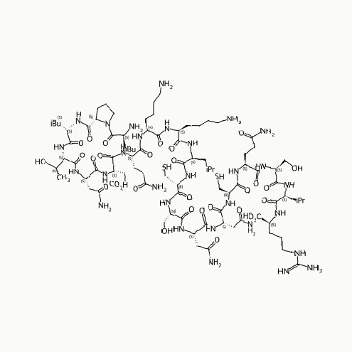 CCCC[C@H](N)C(=O)N1CCC[C@H]1C(=O)N[C@H](C(=O)N[C@H](C(=O)N[C@@H](CC(N)=O)C(=O)N[C@@H](CC(=O)O)C(=O)N[C@@H](CCC(N)=O)C(=O)N[C@@H](CCCCN)C(=O)N[C@@H](CCCCN)C(=O)N[C@@H](CC(C)C)C(=O)N[C@@H](CS)C(=O)N[C@@H](CO)C(=O)N[C@@H](CC(N)=O)C(=O)N[C@@H](CC(N)=O)C(=O)N[C@@H](CS)C(=O)N[C@@H](CCC(N)=O)C(=O)N[C@@H](CO)C(=O)N[C@H](C(=O)N[C@@H](CCCNC(=N)N)C(=O)O)C(C)C)[C@@H](C)O)[C@@H](C)CC